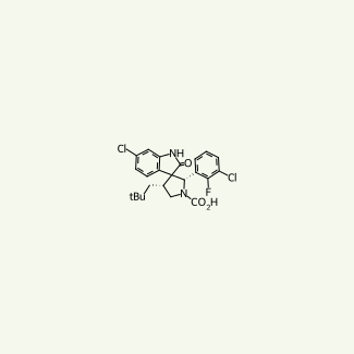 CC(C)(C)C[C@H]1CN(C(=O)O)[C@@H](c2cccc(Cl)c2F)C12C(=O)Nc1cc(Cl)ccc12